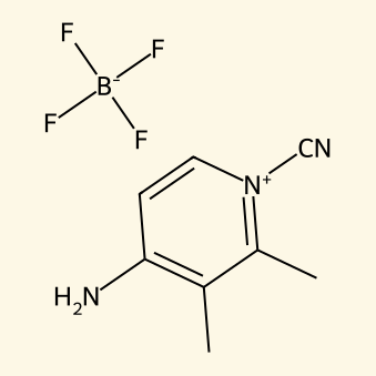 Cc1c(N)cc[n+](C#N)c1C.F[B-](F)(F)F